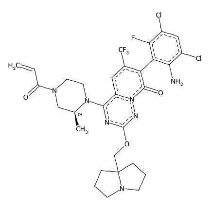 C=CC(=O)N1CCN(c2nc(OCC34CCCN3CCC4)nn3c(=O)c(-c4c(N)c(Cl)cc(Cl)c4F)c(C(F)(F)F)cc23)[C@@H](C)C1